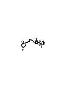 CC(Cc1ccc(S(=O)(=O)c2ncc[nH]2)cc1)NCCCCN1CCNCCC1=O